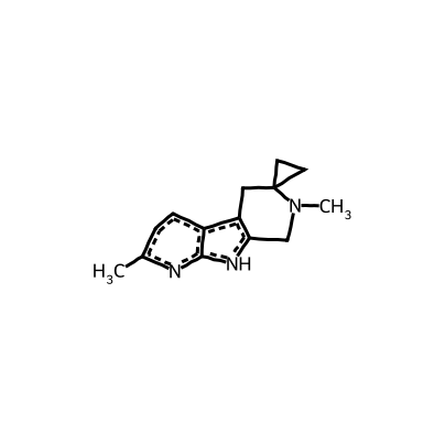 Cc1ccc2c3c([nH]c2n1)CN(C)C1(CC1)C3